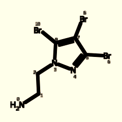 NCCn1nc(Br)c(Br)c1Br